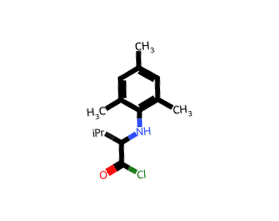 Cc1cc(C)c(NC(C(=O)Cl)C(C)C)c(C)c1